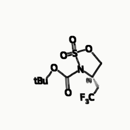 CC(C)(C)OC(=O)N1[C@@H](CC(F)(F)F)COS1(=O)=O